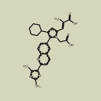 C/C(=C\c1cc(C2CCCCC2)c(-c2ccc3nc(-c4sc(C)nc4C)ccc3c2)n1CC(=O)O)C(=O)O